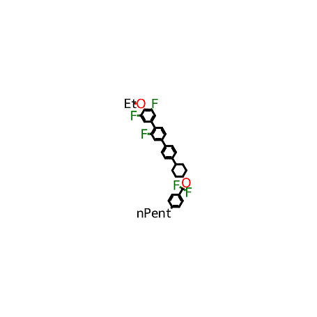 CCCCCc1ccc(C(F)(F)OC2CCC(c3ccc(-c4ccc(-c5cc(F)c(OCC)c(F)c5)c(F)c4)cc3)CC2)cc1